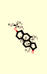 CC1CC2=CC(O[Si](C)(C)C)CC[C@]2(C=O)[C@@H]2CC[C@]3(C)C(=O)CC[C@H]3[C@H]12